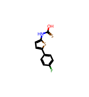 OC(=S)Nc1ccc(-c2ccc(F)cc2)s1